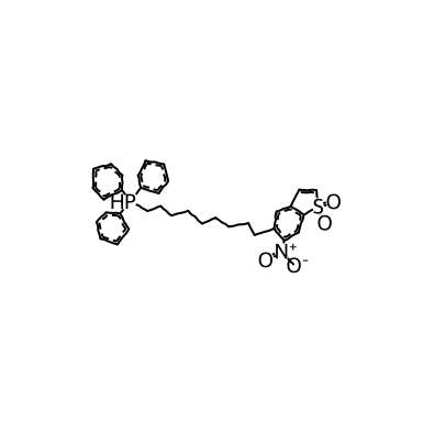 O=[N+]([O-])c1cc2c(cc1CCCCCCCCC[PH](c1ccccc1)(c1ccccc1)c1ccccc1)C=CS2(=O)=O